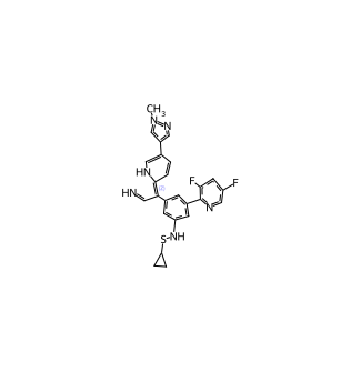 Cn1cc(C2=CN/C(=C(\C=N)c3cc(NSC4CC4)cc(-c4ncc(F)cc4F)c3)C=C2)cn1